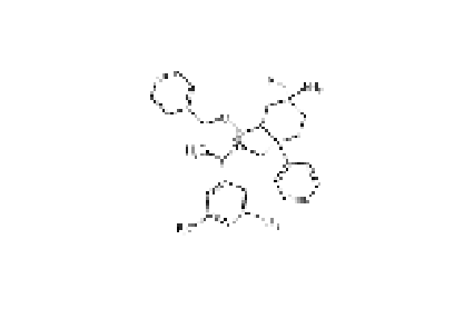 C[C@@H](OC[C@@]1(c2ccccc2)CC[C@@](N)(C#N)CN1C(=O)OCc1ccccc1)c1cc(C(F)(F)F)cc(C(F)(F)F)c1